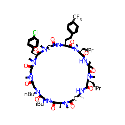 CCCCN1CC(=O)N(C)CC(=O)N(C)[C@@H](Cc2ccc(Cl)cc2)C(=O)N(C)CC(=O)N[C@@H](CCc2ccc(C(F)(F)F)cc2)C(=O)N(C)[C@@H](CC(C)C)C(=O)NC(C)(C)C(=O)N(C)[C@@H](CC(C)C)C(=O)N[C@H](C)CC(=O)N(C)[C@@H](C)C(=O)N[C@@H]([C@@H](C)CC)C1=O